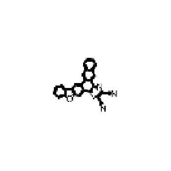 N#Cc1nc2c3cc4ccccc4cc3c3cc4c(cc3c2nc1C#N)oc1ccccc14